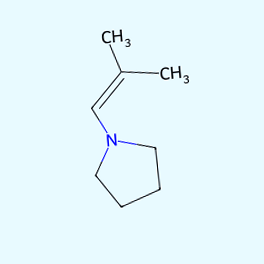 CC(C)=CN1CCCC1